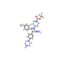 CN1CCN(c2ccc(C3C(N)N(C4CCN(C(=O)OC(C)(C)C)CC4)C3c3ccc(Br)cc3)cc2)CC1